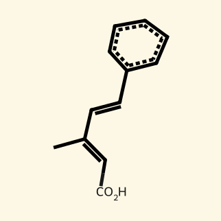 CC(=CC(=O)O)/C=C/c1ccccc1